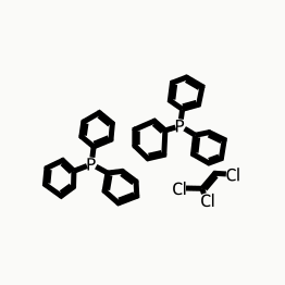 ClC=C(Cl)Cl.c1ccc(P(c2ccccc2)c2ccccc2)cc1.c1ccc(P(c2ccccc2)c2ccccc2)cc1